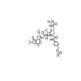 COC[C@@H]1C[C@H](N2C(=O)CC(C(C)C)C2=O)C(=O)N1CC(=O)N[C@H](C(=O)N[C@@H](CCCNC(N)=O)C(=O)Nc1ccc(COC(=O)C(C)(C)C)cc1)C(C)C